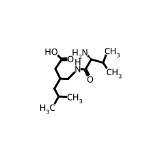 CC(C)CC(CNC(=O)[C@@H](N)C(C)C)CC(=O)O